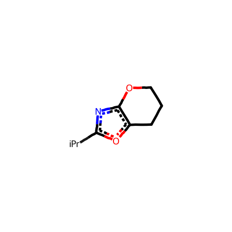 CC(C)c1nc2c(o1)CCCO2